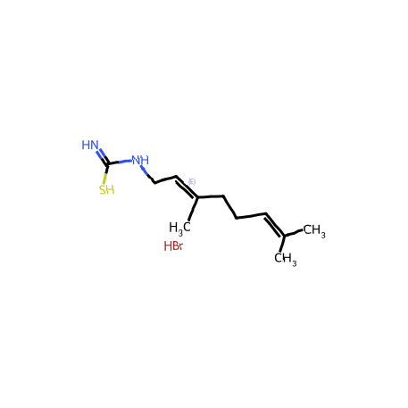 Br.CC(C)=CCC/C(C)=C/CNC(=N)S